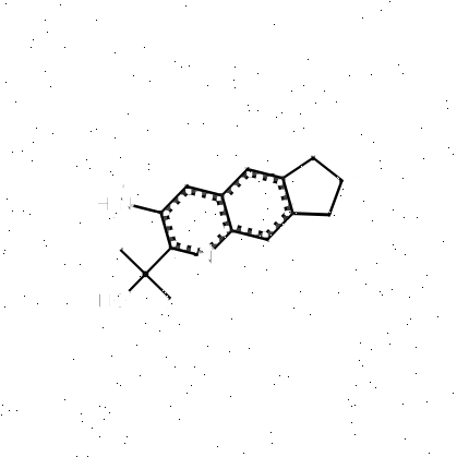 CC(C)(O)c1nc2cc3c(cc2cc1N)CCC3